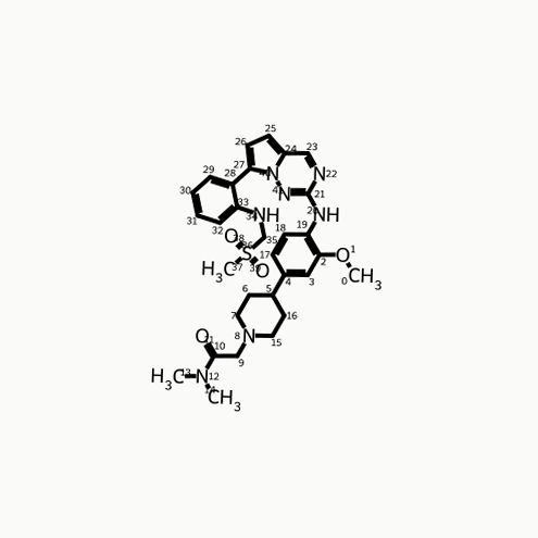 COc1cc(C2CCN(CC(=O)N(C)C)CC2)ccc1Nc1ncc2ccc(-c3ccccc3NCS(C)(=O)=O)n2n1